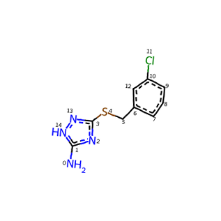 Nc1nc(SCc2cccc(Cl)c2)n[nH]1